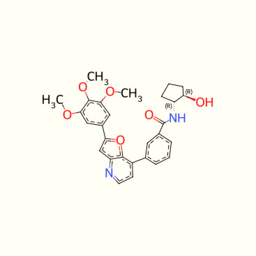 COc1cc(-c2cc3nccc(-c4cccc(C(=O)N[C@@H]5CCC[C@H]5O)c4)c3o2)cc(OC)c1OC